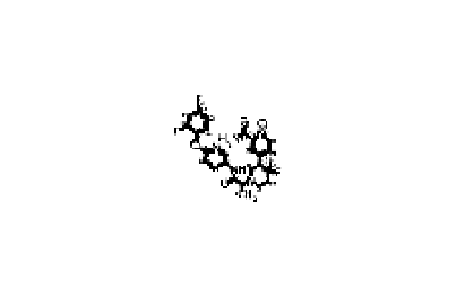 CC(C(=O)Nc1cnc(Oc2ccc(F)cc2F)cn1)N1CCC(F)(F)C(c2cc[n+]([O-])c(C(N)=O)c2)C1